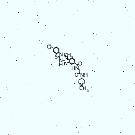 CN1CCC(NC(=O)CNC(=O)c2ccc3c(c2)nc(Nc2nc4ccc(Cl)cc4s2)n3C)CC1